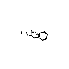 N[C@@H](CO)CC1=CC[CH]C=C1